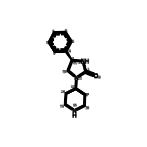 O=C1N[C@H](c2ccccc2)CN1C1CCNCC1